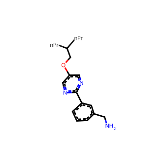 CCCC(CCC)COc1cnc(-c2cccc(CN)c2)nc1